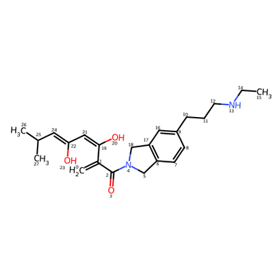 C=C(C(=O)N1Cc2ccc(CCCNCC)cc2C1)/C(O)=C\C(O)=C\C(C)C